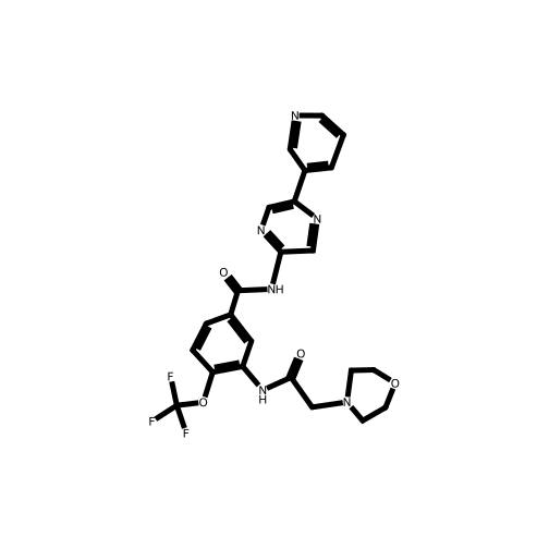 O=C(CN1CCOCC1)Nc1cc(C(=O)Nc2cnc(-c3cccnc3)cn2)ccc1OC(F)(F)F